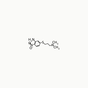 CN(C)CCCSc1ccc([N+](=O)[O-])c(N)c1